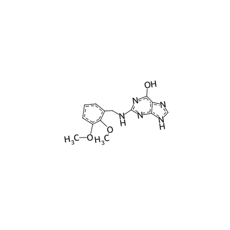 COc1cccc(CNc2nc(O)c3nc[nH]c3n2)c1OC